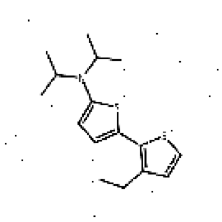 CCc1ccsc1-c1ccc(N(C(C)C)C(C)C)s1